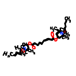 CCCCCON1C(C)(C)CC(OC(=O)CCCCCCCCC(=O)OC2CC(C)(C)N(OCCCCC)C(C)(C)C2)CC1(C)C